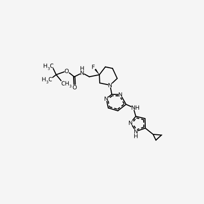 CC(C)(C)OC(=O)NC[C@]1(F)CCCN(c2nccc(Nc3cc(C4CC4)[nH]n3)n2)C1